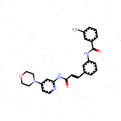 O=C(C=Cc1cccc(NC(=O)c2cccc(C(F)(F)F)c2)c1)Nc1cc(N2CCOCC2)ccn1